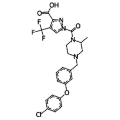 CC1CN(Cc2cccc(Oc3ccc(Cl)cc3)c2)CCN1C(=O)n1cc(C(F)(F)F)c(C(=O)O)n1